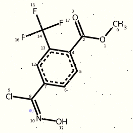 COC(=O)c1ccc(/C(Cl)=N\O)cc1C(F)(F)F